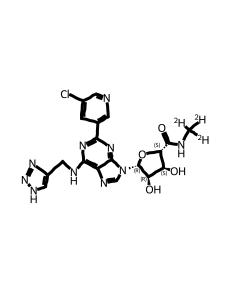 [2H]C([2H])([2H])NC(=O)[C@H]1O[C@@H](n2cnc3c(NCc4c[nH]nn4)nc(-c4cncc(Cl)c4)nc32)[C@H](O)[C@@H]1O